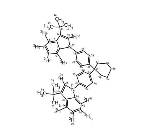 [2H]c1c([2H])c([2H])c2c(c1[2H])c(C(C)(C)C)c([2H])n2-c1ccc(C2(c3ccc(-n4c([2H])c(C(C)(C)C)c5c([2H])c([2H])c([2H])c([2H])c54)cc3)CCCCC2)cc1